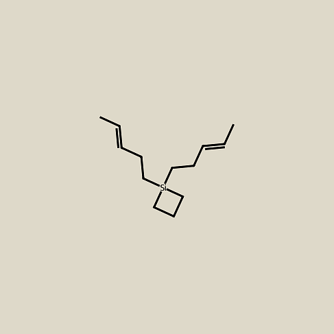 CC=CCC[Si]1(CCC=CC)CCC1